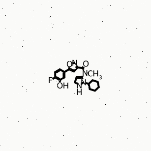 CN(C(=O)c1cc(-c2ccc(F)c(O)c2)on1)C1=CCNN1C1CCCCC1